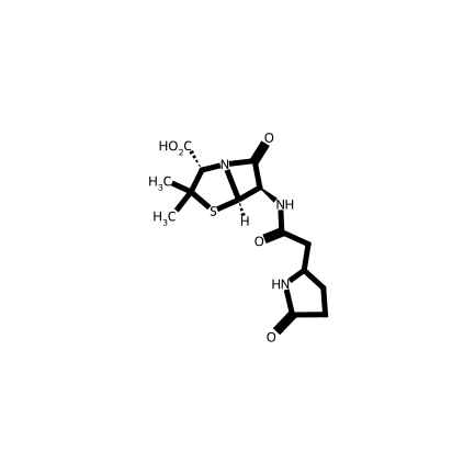 CC1(C)S[C@@H]2[C@H](NC(=O)CC3CCC(=O)N3)C(=O)N2[C@H]1C(=O)O